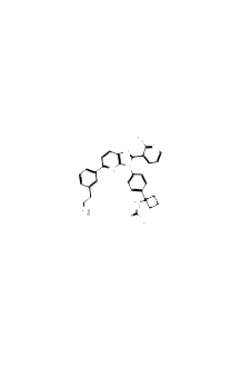 CC(C)(C)OC(=O)NC1(c2ccc(-n3c(-c4cccnc4N)nc4ccc(-c5cccc(CCN)c5)nc43)cc2)CCC1